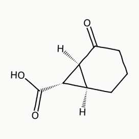 O=C(O)[C@H]1[C@@H]2CCCC(=O)[C@@H]21